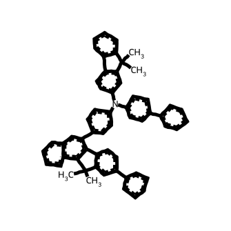 CC1(C)c2ccccc2-c2ccc(N(c3ccc(-c4ccccc4)cc3)c3ccc(-c4cc5ccccc5c5c4-c4ccc(-c6ccccc6)cc4C5(C)C)cc3)cc21